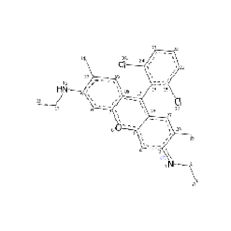 CC/N=c1/cc2oc3cc(NCC)c(C)cc3c(-c3c(Cl)cccc3Cl)c-2cc1C